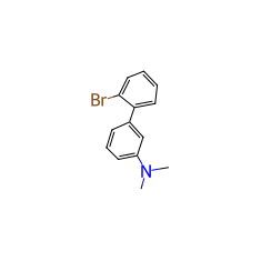 CN(C)c1cccc(-c2ccccc2Br)c1